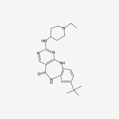 CCN1CCC(Nc2ncc3c(n2)Nc2ccc(C(C)(C)C)cc2NC3=O)CC1